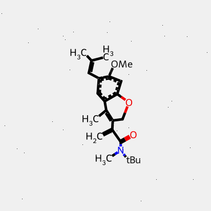 C=C(C(=O)N(C)C(C)(C)C)C1=C(C)c2cc(C=C(C)C)c(OC)cc2OC1